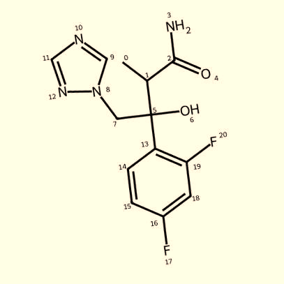 CC(C(N)=O)C(O)(Cn1cncn1)c1ccc(F)cc1F